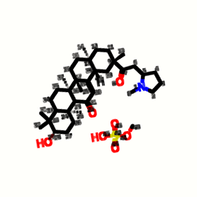 CN1CCCC1CC(=O)[C@@]1(C)CC[C@]2(C)CC[C@]3(C)C(=CC(=O)C4[C@@]5(C)CC[C@H](O)C(C)(C)C5CC[C@]43C)[C@H]2C1.COS(=O)(=O)O